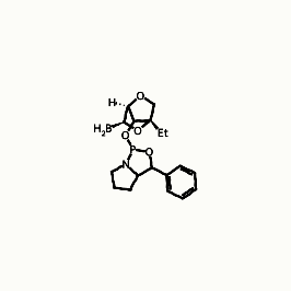 B[C@@H]1O[C@@]2(CC)CO[C@H]1C2OP1OC(c2ccccc2)C2CCCN21